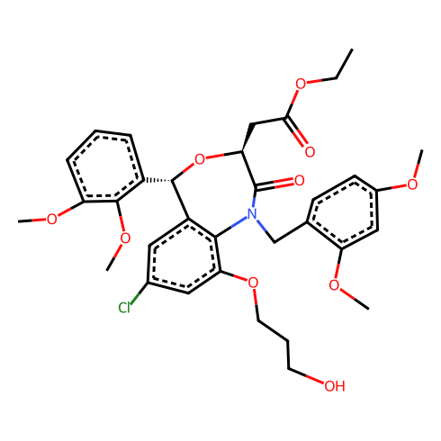 CCOC(=O)C[C@@H]1O[C@@H](c2cccc(OC)c2OC)c2cc(Cl)cc(OCCCO)c2N(Cc2ccc(OC)cc2OC)C1=O